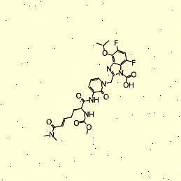 COC(=O)N[C@@H](CC/C=C/C(=O)N(C)C)C(=O)Nc1cccn(Cc2nc3c(OC(C)C)c(F)cc(F)c3n2C(=O)O)c1=O